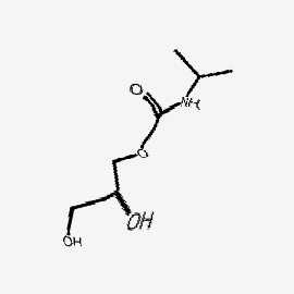 CC(C)NC(=O)OCC(O)CO